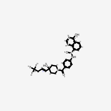 O=C(c1ccc(N[S+]([O-])c2cccc3c(O)ncnc23)cc1)N1CCC(O)(/C=C/CC(F)(F)F)CC1